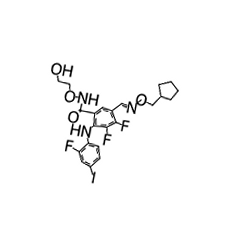 O=C(NOCCO)c1cc(C=NOCC2CCCC2)c(F)c(F)c1Nc1ccc(I)cc1F